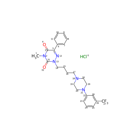 Cl.Cn1c(=O)c(-c2ccccc2)nn(CCCCN2CCN(c3cccc(C(F)(F)F)c3)CC2)c1=O